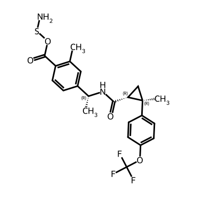 Cc1cc([C@@H](C)NC(=O)[C@@H]2C[C@@]2(C)c2ccc(OC(F)(F)F)cc2)ccc1C(=O)OSN